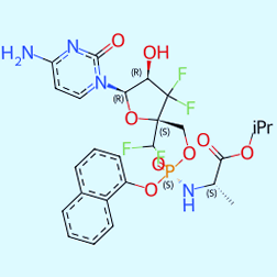 CC(C)OC(=O)[C@H](C)N[P@](=O)(OC[C@@]1(C(F)F)O[C@@H](n2ccc(N)nc2=O)[C@@H](O)C1(F)F)Oc1cccc2ccccc12